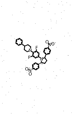 O=[N+]([O-])c1ccc(C2CC[C@@H](c3ccc([N+](=O)[O-])cc3)N2c2cc(F)c(N3CCC(c4ccccc4)CC3)c(F)c2)cc1